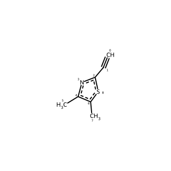 C#Cc1nc(C)c(C)s1